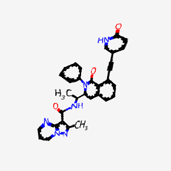 Cc1nn2cccnc2c1C(=O)NC(C)c1cc2cccc(C#Cc3ccc(=O)[nH]c3)c2c(=O)n1-c1ccccc1